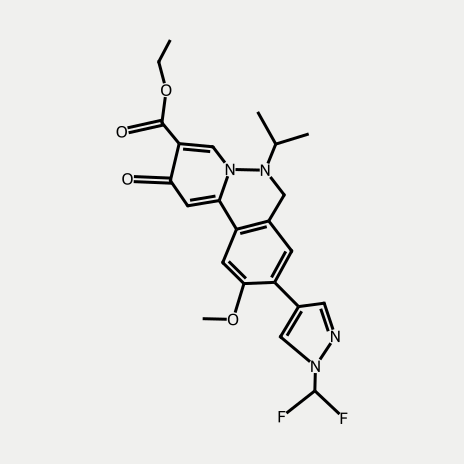 CCOC(=O)c1cn2c(cc1=O)-c1cc(OC)c(-c3cnn(C(F)F)c3)cc1CN2C(C)C